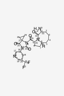 N[C@H]1CCCC[C@H]2CC[C@@H](C(=O)N3C(=O)N(c4cncc(C(F)F)c4)C(=O)C34CC4)N2C1=O